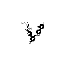 O=C(O)CCNC(=O)c1ccc(-c2cc(Cl)ccc2CNc2ccc(-c3ccc(F)cc3F)cc2)cn1